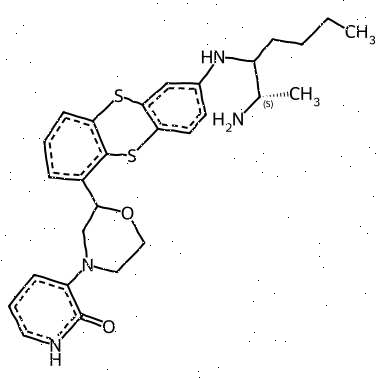 CCCCC(Nc1ccc2c(c1)Sc1cccc(C3CN(c4ccc[nH]c4=O)CCO3)c1S2)[C@H](C)N